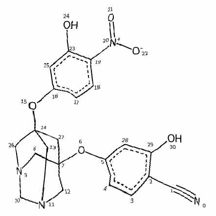 N#Cc1ccc(OC23CN4CN(C2)CC(Oc2ccc([N+](=O)[O-])c(O)c2)(C4)C3)cc1O